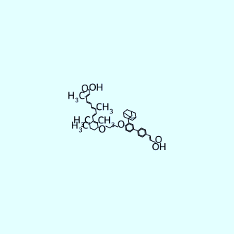 CC(C=CC1=C(C)C(OCCCCOc2ccc(-c3ccc(C=CC(=O)O)cc3)cc2C23CC4CC(CC(C4)C2)C3)CCC1(C)C)=CC=CC(C)=CC(=O)O